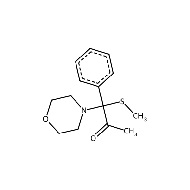 CSC(C(C)=O)(c1ccccc1)N1CCOCC1